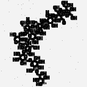 C[C@H](O)[C@H](O)[C@@H](O)[C@@H](O)C=O.O=C[C@H](O)[C@@H](O)[C@H](O)[C@H](O)CO.OC1OC[C@@H](O)[C@H](O)[C@H]1O.OC[C@@H](O)[C@@H](O)[C@H](O)[C@H](O)CO.OC[C@H]1O[C@@](CO)(O[C@H]2O[C@H](CO)[C@@H](O)[C@H](O)[C@H]2O)[C@@H](O)[C@@H]1O.OC[C@H]1O[C@H](OC[C@H]2O[C@H](O[C@]3(CO)O[C@H](CO)[C@@H](O)[C@@H]3O)[C@H](O)[C@@H](O)[C@@H]2O)[C@H](O)[C@@H](O)[C@H]1O.OC[C@H]1O[C@](O)(CO)[C@@H](O)[C@@H]1O.O[C@H]1[C@H](O)[C@@H](O)[C@H](O)[C@@H](O)[C@H]1O